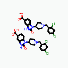 COC(=O)c1ccc2c(c1)[nH]c(=O)n2C1CCN(Cc2ccc(Cl)cc2Cl)CC1.O=C(O)c1ccc2c(c1)[nH]c(=O)n2C1CCN(Cc2ccc(Cl)cc2Cl)CC1